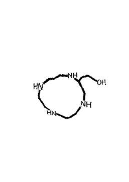 OCC1CNCCNCCNCCN1